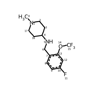 CN1CCC(NCc2ccc(F)cc2OC(F)(F)F)CC1